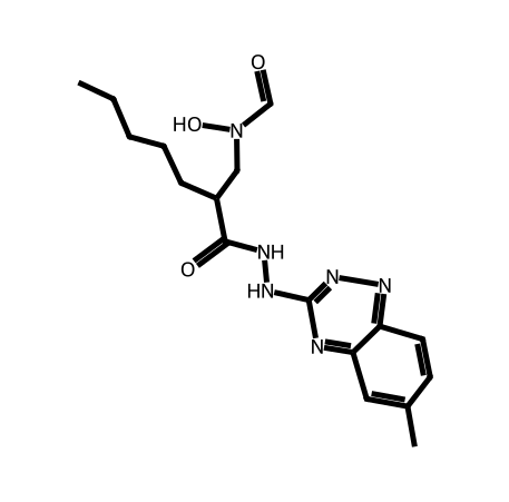 CCCCCC(CN(O)C=O)C(=O)NNc1nnc2ccc(C)cc2n1